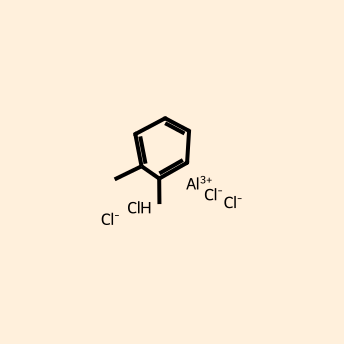 Cc1ccccc1C.Cl.[Al+3].[Cl-].[Cl-].[Cl-]